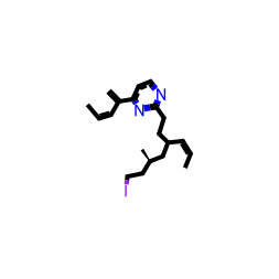 C=C(/C=C\C)c1ccnc(CCC(/C=C\C)C[C@H](C)CCI)n1